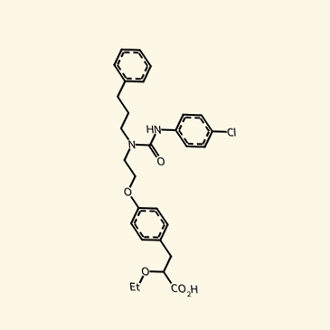 CCOC(Cc1ccc(OCCN(CCCc2ccccc2)C(=O)Nc2ccc(Cl)cc2)cc1)C(=O)O